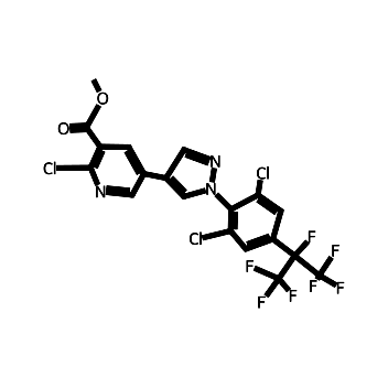 COC(=O)c1cc(-c2cnn(-c3c(Cl)cc(C(F)(C(F)(F)F)C(F)(F)F)cc3Cl)c2)cnc1Cl